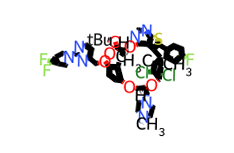 Cc1c(Cl)c2c(Cl)c(C)c1-c1c(-c3ccc(F)cc3)sc3ncnc(c13)O[C@@H](C(=O)OC(C)(C)C)Cc1cc(ccc1OCc1ccnc(N3CC4C(C3)C4(F)F)n1)OC[C@@H](CN1CCN(C)CC1)O2